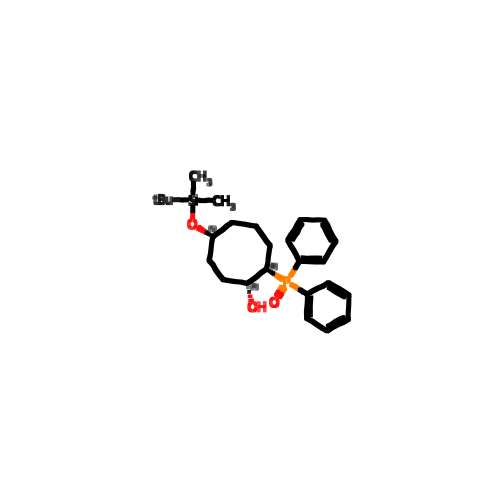 CC(C)(C)[Si](C)(C)O[C@H]1CCC[C@@H](P(=O)(c2ccccc2)c2ccccc2)[C@H](O)CC1